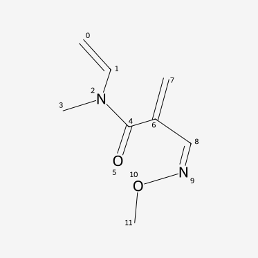 C=CN(C)C(=O)C(=C)/C=N\OC